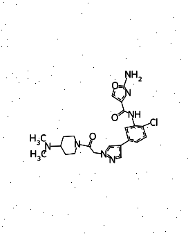 CN(C)C1CCN(C(=O)Cn2cc(-c3ccc(Cl)c(NC(=O)c4coc(N)n4)c3)cn2)CC1